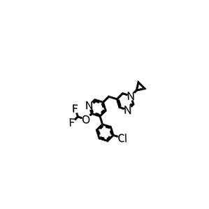 FC(F)Oc1ncc(CC2=CN=CN(C3CC3)C2)cc1-c1cccc(Cl)c1